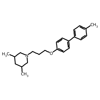 Cc1ccc(-c2ccc(OCCCN3CC(C)CC(C)C3)cc2)cc1